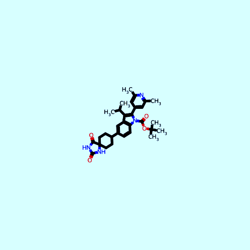 Cc1cc(-c2c(C(C)C)c3cc(C4CCC5(CC4)NC(=O)NC5=O)ccc3n2C(=O)OC(C)(C)C)cc(C)n1